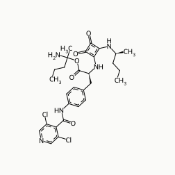 CCC[C@H](C)Nc1c(N[C@@H](Cc2ccc(NC(=O)c3c(Cl)cncc3Cl)cc2)C(=O)OC(C)(N)CCC)c(=O)c1=O